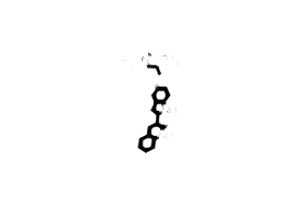 CC(COc1ccc2[nH]c(-c3cc4ccccc4[nH]c3=O)cc2c1)CN(C)C